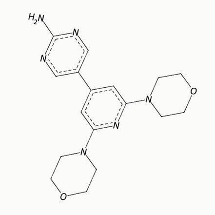 Nc1ncc(-c2cc(N3CCOCC3)nc(N3CCOCC3)c2)cn1